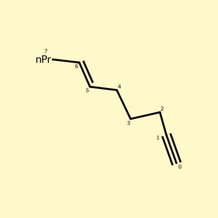 C#CCCCC=CCCC